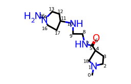 CN1CCC(C(=O)NCCNC2CCN(N)CC2)C1